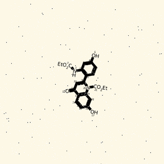 CCOC(=O)Nc1cc(O)ccc1-c1cc(=O)c2ccc(O)cc2n1C(=O)OCC